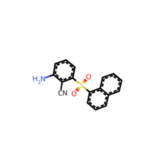 N#Cc1c(N)cccc1S(=O)(=O)c1cccc2ccccc12